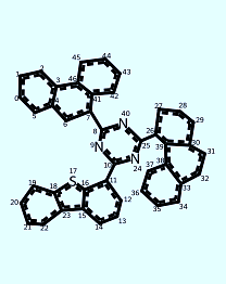 c1ccc2c(c1)cc(-c1nc(-c3cccc4c3sc3ccccc34)nc(-c3cccc4ccc5ccccc5c34)n1)c1ccccc12